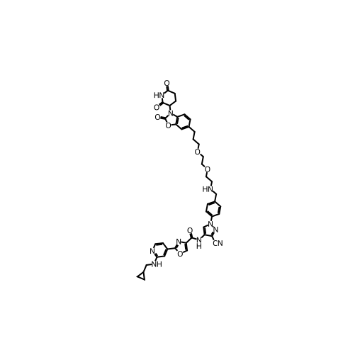 N#Cc1nn(-c2ccc(CNCCOCCOCCCc3ccc4c(c3)oc(=O)n4C3CCC(=O)NC3=O)cc2)cc1NC(=O)c1coc(-c2ccnc(NCC3CC3)c2)n1